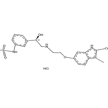 Cc1c(C(=O)O)[nH]c2cc(OCCNC[C@H](O)c3cccc(NS(C)(=O)=O)c3)ccc12.Cl